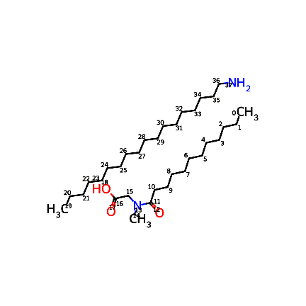 CCCCCCCCCCCC(=O)N(C)CC(=O)O.CCCCCCCCCCCCCCCCCCN